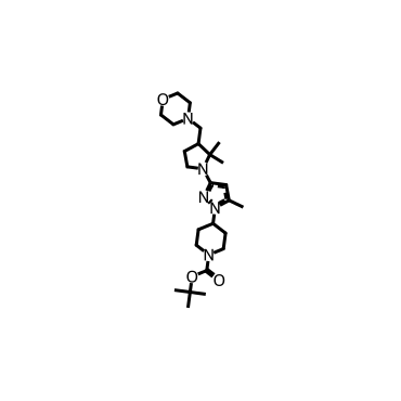 Cc1cc(N2CCC(CN3CCOCC3)C2(C)C)nn1C1CCN(C(=O)OC(C)(C)C)CC1